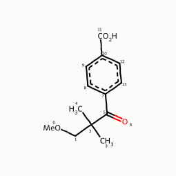 COCC(C)(C)C(=O)c1ccc(C(=O)O)cc1